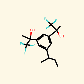 CCC(C)c1cc(C(C)(O)C(F)(F)F)cc(C(C)(O)C(F)(F)F)c1